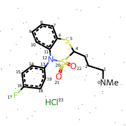 CNCCCC1Sc2ccccc2N(c2ccc(F)cc2)S1(=O)=O.Cl